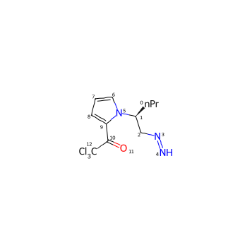 CCC[C@@H](CN=N)n1cccc1C(=O)C(Cl)(Cl)Cl